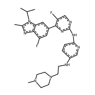 Cc1nc2c(F)cc(-c3nc(Nc4ccc(NCCN5CCN(C)CC5)cn4)ncc3F)cc2n1C(C)C